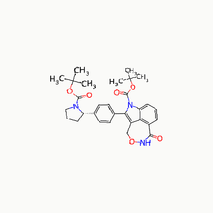 CC(C)(C)OC(=O)N1CCC[C@H]1c1ccc(-c2c3c4c(cccc4n2C(=O)OC(C)(C)C)C(=O)NOC3)cc1